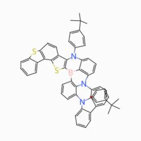 CC(C)(C)c1ccc(N2c3cccc4c3B(c3cccc(-n5c6ccccc6c6ccccc65)c32)c2sc3c(ccc5sc6ccccc6c53)c2N4c2ccc(C(C)(C)C)cc2)cc1